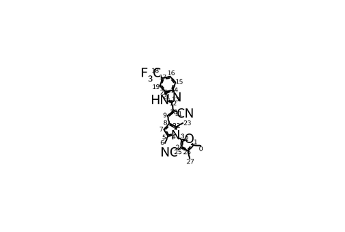 Cc1oc(-n2c(C)cc(/C=C(\C#N)c3nc4ccc(C(F)(F)F)cc4[nH]3)c2C)c(C#N)c1C